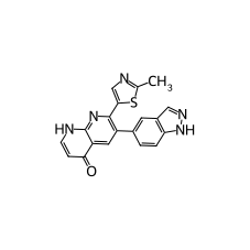 Cc1ncc(-c2nc3[nH]ccc(=O)c3cc2-c2ccc3[nH]ncc3c2)s1